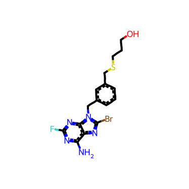 Nc1nc(F)nc2c1nc(Br)n2Cc1cccc(CSCCCO)c1